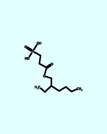 CCCCC(CC)COC(=O)CCP(=O)(O)O